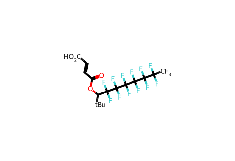 CC(C)(C)C(OC(=O)/C=C/C(=O)O)C(F)(F)C(F)(F)C(F)(F)C(F)(F)C(F)(F)C(F)(F)C(F)(F)F